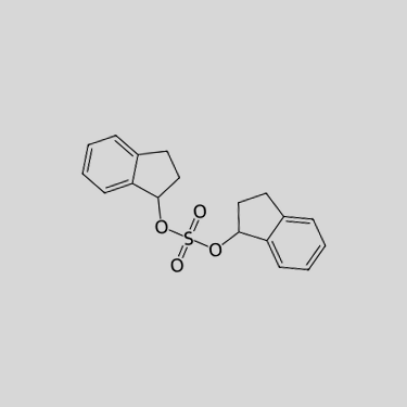 O=S(=O)(OC1CCc2ccccc21)OC1CCc2ccccc21